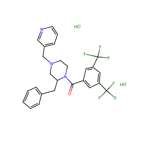 Cl.Cl.O=C(c1cc(C(F)(F)F)cc(C(F)(F)F)c1)N1CCN(Cc2cccnc2)CC1Cc1ccccc1